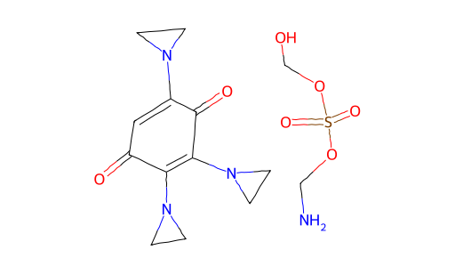 NCOS(=O)(=O)OCO.O=C1C=C(N2CC2)C(=O)C(N2CC2)=C1N1CC1